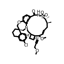 COCC#C[C@@]1(OC)/C=C/C[C@H](C)[C@@H](C)S(=O)(=O)NC(=O)c2ccc3c(c2)N(C[C@@H]2CC[C@H]21)C[C@@]1(CCCc2cc(Cl)ccc21)CO3